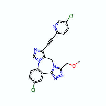 COCc1nnc2n1Cc1c(C#Cc3ccc(Cl)cn3)ncn1-c1ccc(Cl)cc1-2